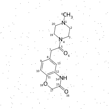 CN1CCN(C(=O)Cc2ccc3c(c2)NC(=O)CO3)CC1